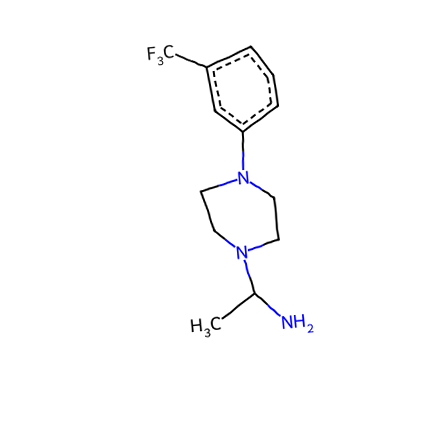 CC(N)N1CCN(c2cccc(C(F)(F)F)c2)CC1